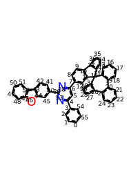 c1ccc(-c2cc(-c3ccc4c(c3)C3(c5ccccc5-c5ccccc5-c5ccccc53)c3ccccc3-4)nc(-c3ccc4c(c3)oc3ccccc34)n2)cc1